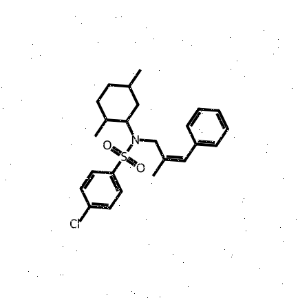 CC(=Cc1ccccc1)CN(C1CC(C)CCC1C)S(=O)(=O)c1ccc(Cl)cc1